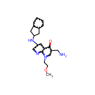 COCCn1cc(CN)c(=O)c2cc(NC3Cc4ccccc4C3)cnc21